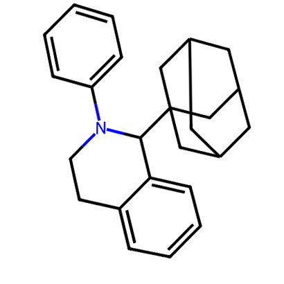 c1ccc(N2CCc3ccccc3C2C23CC4CC(CC(C4)C2)C3)cc1